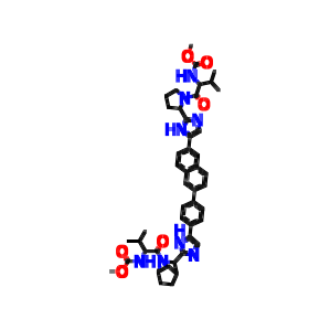 COC(=O)NC(C(=O)N1CCCC1c1ncc(-c2ccc3cc(-c4ccc(-c5cnc(C6C7CCC(C7)N6C(=O)C(NC(=O)OC)C(C)C)[nH]5)cc4)ccc3c2)[nH]1)C(C)C